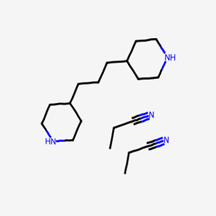 C(CC1CCNCC1)CC1CCNCC1.CCC#N.CCC#N